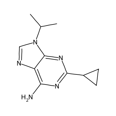 CC(C)n1cnc2c(N)nc(C3CC3)nc21